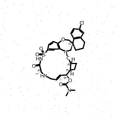 C[C@H]1NC/C=C/[C@H](OC(=O)N(C)C)[C@@H]2CC[C@H]2CN2C[C@@]3(CCCc4cc(Cl)ccc43)COc3ccc(cc32)S(=O)(=O)NC1=O